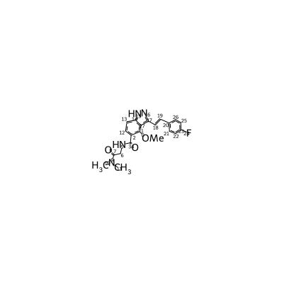 COc1c(C(=O)NCC(=O)N(C)C)ccc2[nH]nc(C=Cc3ccc(F)cc3)c12